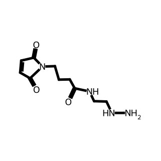 NNCCNC(=O)CCCN1C(=O)C=CC1=O